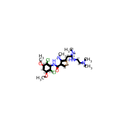 C=Nc1c(C(=O)Nc2c(Cl)c(OC)cc(OC)c2Cl)csc1C/C(=N\C)NCCN(C)C